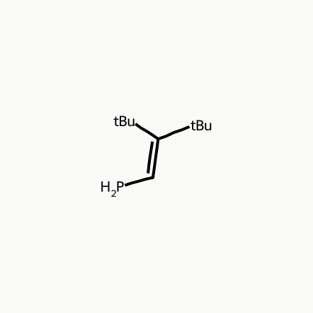 CC(C)(C)C(=CP)C(C)(C)C